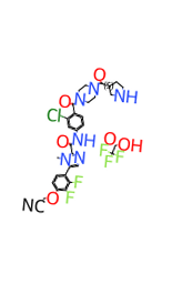 Cn1c(-c2ccc(OCC#N)c(F)c2F)cnc1C(=O)Nc1ccc(C(=O)N2CCN(C(=O)[C@H]3CCNC3)CC2)c(Cl)c1.O=C(O)C(F)(F)F